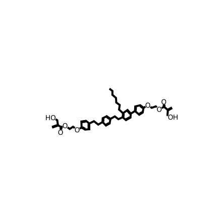 C=C(CO)C(=O)OCCOc1ccc(CCc2ccc(CCc3ccc(-c4ccc(OCCOC(=O)C(=C)CO)cc4)cc3CCCCCCC)cc2)cc1